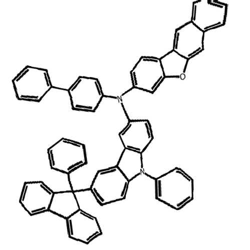 c1ccc(-c2ccc(N(c3ccc4c(c3)oc3cc5ccccc5cc34)c3ccc4c(c3)c3cc(C5(c6ccccc6)c6ccccc6-c6ccccc65)ccc3n4-c3ccccc3)cc2)cc1